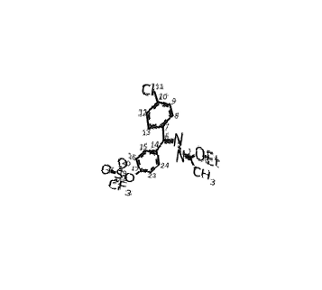 CCOC(C)=NN=C(c1ccc(Cl)cc1)c1ccc(OS(=O)(=O)C(F)(F)F)cc1